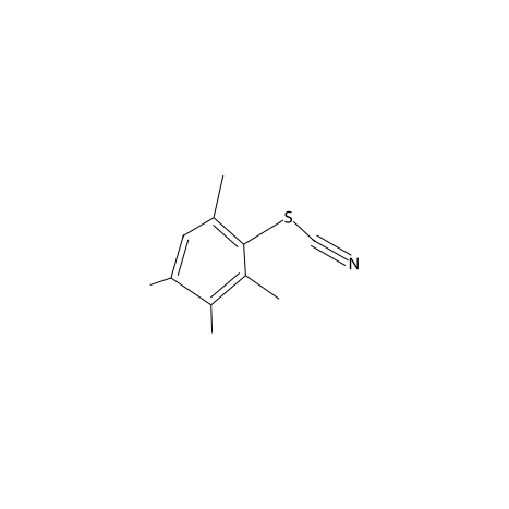 Cc1cc(C)c(SC#N)c(C)c1C